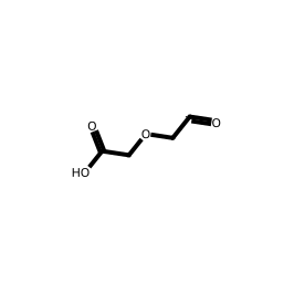 O=[C]COCC(=O)O